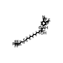 C[C@@](O)(CCCCCCCCCCSCCCC(F)(F)C(F)(F)F)C(=O)Nc1ccc(C#N)c(C(F)(F)F)c1